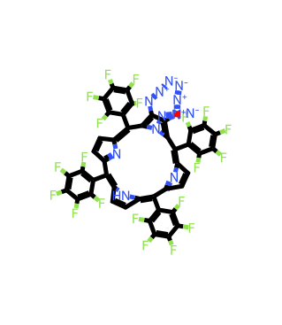 [N-]=[N+]=Nc1c(N=[N+]=[N-])c2c(-c3c(F)c(F)c(F)c(F)c3F)c3nc(c(-c4c(F)c(F)c(F)c(F)c4F)c4ccc([nH]4)c(-c4c(F)c(F)c(F)c(F)c4F)c4nc(c(-c5c(F)c(F)c(F)c(F)c5F)c1n2N=[N+]=[N-])C=C4)C=C3